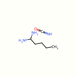 CCCCC(N)N.N=C=O